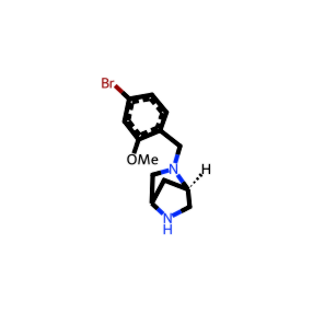 COc1cc(Br)ccc1CN1CC2C[C@@H]1CN2